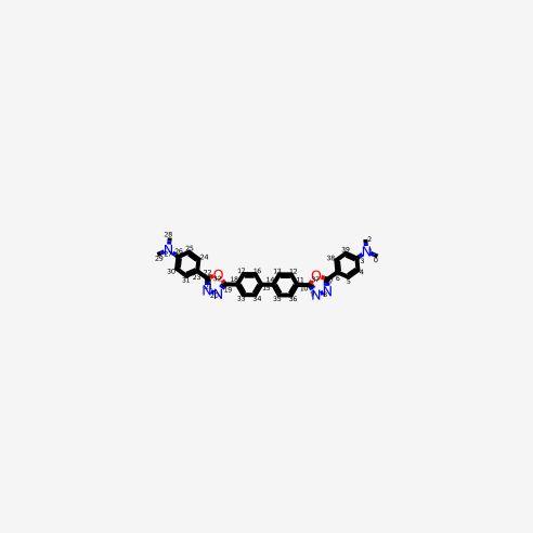 CN(C)c1ccc(-c2nnc(-c3ccc(-c4ccc(-c5nnc(-c6ccc(N(C)C)cc6)o5)cc4)cc3)o2)cc1